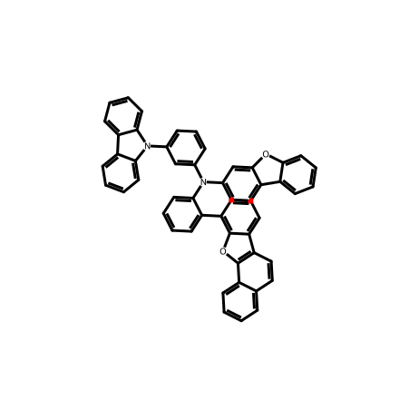 c1cc(N(c2ccc3c(c2)oc2ccccc23)c2ccccc2-c2cccc3c2oc2c4ccccc4ccc32)cc(-n2c3ccccc3c3ccccc32)c1